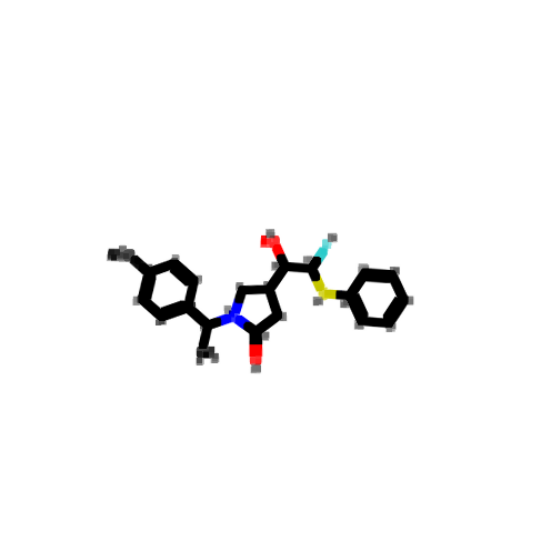 COc1ccc(C(C)N2CC(C(O)C(F)Sc3ccccc3)CC2=O)cc1